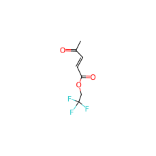 CC(=O)/C=C/C(=O)OCC(F)(F)F